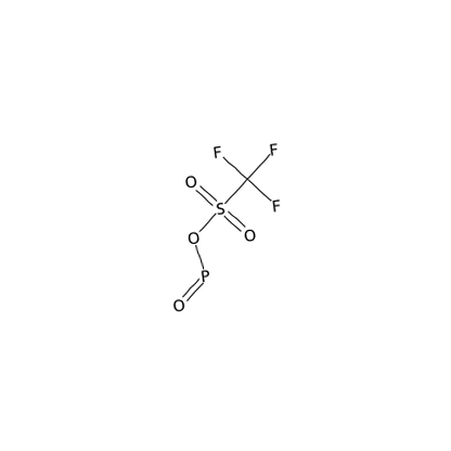 O=POS(=O)(=O)C(F)(F)F